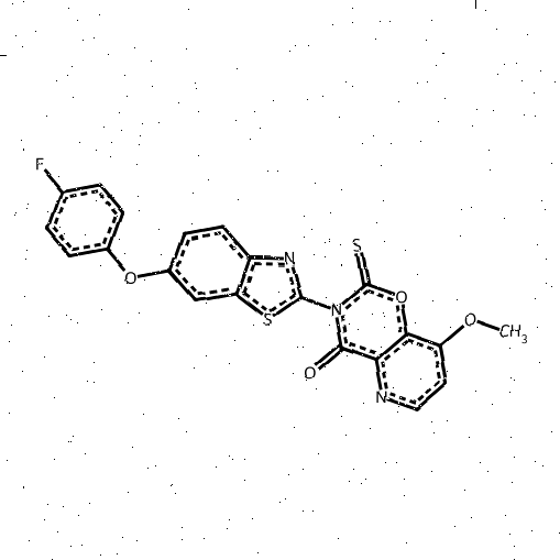 COc1ccnc2c(=O)n(-c3nc4ccc(Oc5ccc(F)cc5)cc4s3)c(=S)oc12